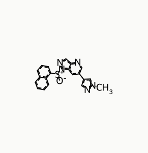 Cn1cc(-c2cnc3cnn([S+]([O-])c4cccc5ccccc45)c3c2)cn1